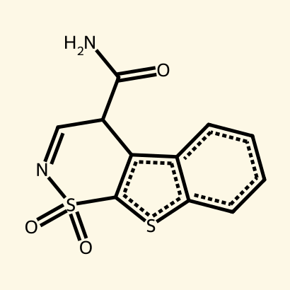 NC(=O)C1C=NS(=O)(=O)c2sc3ccccc3c21